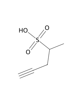 C#CCC(C)S(=O)(=O)O